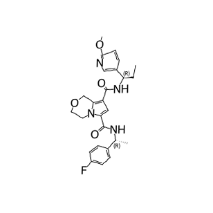 CC[C@@H](NC(=O)c1cc(C(=O)N[C@H](C)c2ccc(F)cc2)n2c1COCC2)c1ccc(OC)nc1